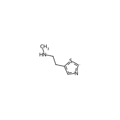 CNCCc1cn[c]s1